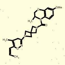 C/C=C\C1=C(C)CC(N2CC3(CN(C(=O)N4c5ccc(OC)cc5OCC4C)C3)C2)=NO1